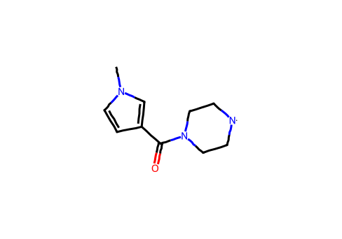 Cn1ccc(C(=O)N2CC[N]CC2)c1